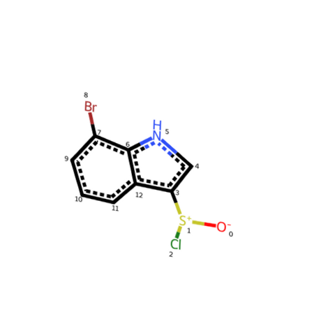 [O-][S+](Cl)c1c[nH]c2c(Br)cccc12